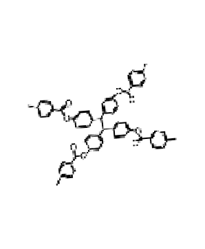 Cc1ccc(C(=O)Oc2ccc(C(c3ccc(OC(=O)c4ccc(C)cc4)cc3)C(c3ccc(OC(=O)c4ccc(C)cc4)cc3)c3ccc(OC(=O)c4ccc(C)cc4)cc3)cc2)cc1